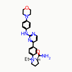 CC[N+]1(c2ccc(-c3ccnc(Nc4ccc(N5CCOCC5)cc4)n3)cc2)CCC[C@@H]1C(N)=O